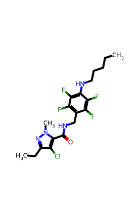 CCCCCNc1c(F)c(F)c(CNC(=O)c2c(Cl)c(CC)nn2C)c(F)c1F